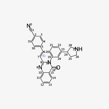 N#Cc1ccc(/C=C/c2nc3ccccc3c(=O)n2-c2cccc(C3CCNC3)c2)cc1